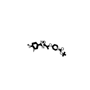 CSc1ccc(-c2noc(C(C)OC3CCN(C(=O)OC(C)(C)C)CC3)n2)cc1F